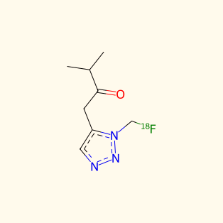 CC(C)C(=O)Cc1cnnn1C[18F]